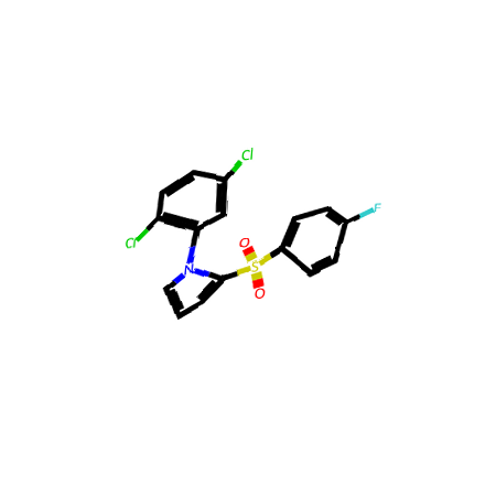 O=S(=O)(c1ccc(F)cc1)c1cccn1-c1cc(Cl)ccc1Cl